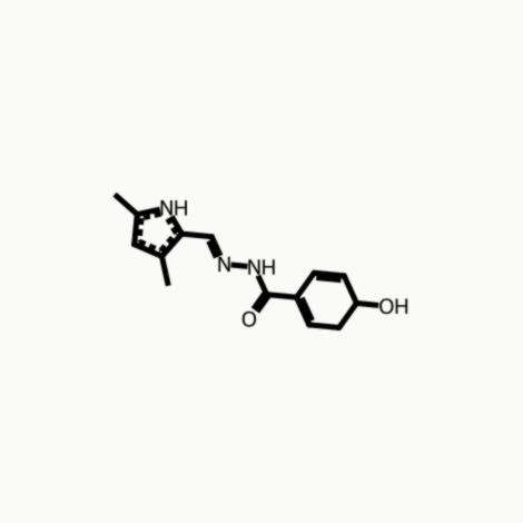 Cc1cc(C)c(/C=N/NC(=O)C2=CCC(O)C=C2)[nH]1